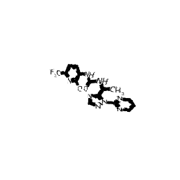 CC(NC(=O)Nc1ccc(C(F)(F)F)nc1Cl)c1ncnn1-c1ncccn1